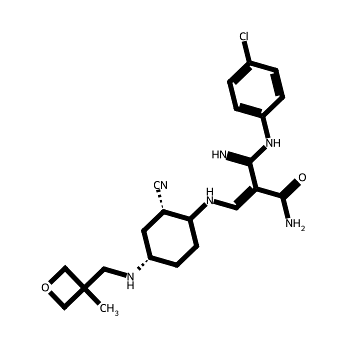 CC1(CN[C@H]2CCC(N/C=C(\C(=N)Nc3ccc(Cl)cc3)C(N)=O)[C@@H](C#N)C2)COC1